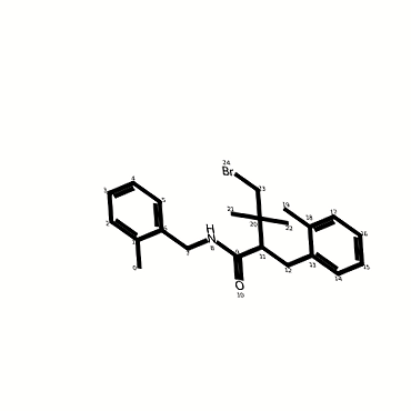 Cc1ccccc1CNC(=O)C(Cc1ccccc1C)C(C)(C)CBr